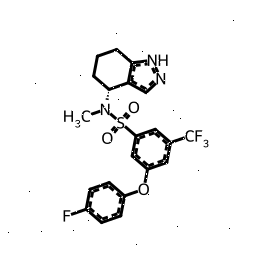 CN([C@@H]1CCCc2[nH]ncc21)S(=O)(=O)c1cc(Oc2ccc(F)cc2)cc(C(F)(F)F)c1